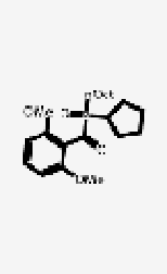 CCCCCCCCP(=O)(C(=O)c1c(OC)cccc1OC)C1CCCC1